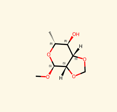 CO[C@H]1O[C@H](C)[C@@H](O)[C@@H]2OCO[C@H]12